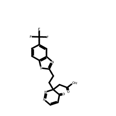 O=C(O)CC1(CCc2nc3cc(C(F)(F)F)ccc3s2)N=NC=CC1=O